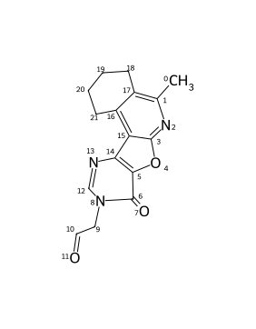 Cc1nc2oc3c(=O)n(CC=O)cnc3c2c2c1CCCC2